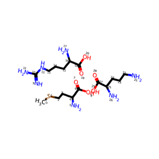 CSCCC(N)C(=O)O.N=C(N)NCCCC(N)C(=O)O.NCCCC(N)C(=O)O